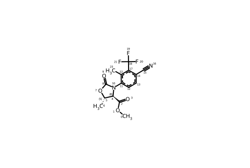 COC(=O)[C@H]1[C@H](C)OC(=O)N1c1ccc(C#N)c(C(F)(F)F)c1C